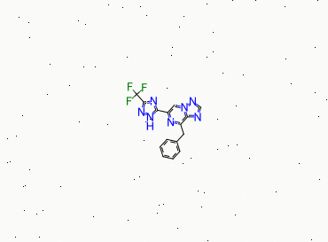 FC(F)(F)c1n[nH]c(-c2cn3ncnc3c(Cc3ccccc3)n2)n1